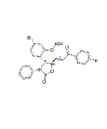 CCCCOc1cc(Br)ccc1[C@@H]1[C@@H](/C=C/C(=O)c2ccc(F)cc2)OC(=O)N1c1ccccc1